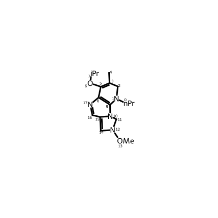 CCCN1CC(C)=C(OC(C)C)C2=C1N1CN(OC)C=C1C=N2